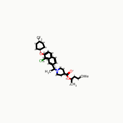 COCCC(C)OC(=O)C1CCN(C(C)c2ccc3ccc(O[C@H]4CC[C@@H](C(F)(F)F)CC4)c(Cl)c3c2)CC1